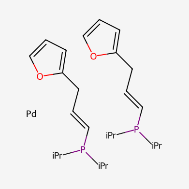 CC(C)P(C=CCc1ccco1)C(C)C.CC(C)P(C=CCc1ccco1)C(C)C.[Pd]